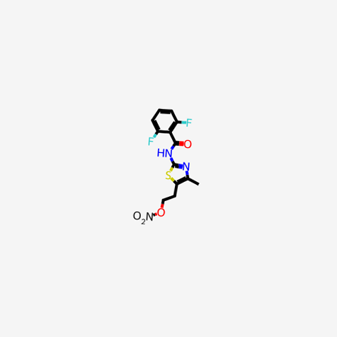 Cc1nc(NC(=O)c2c(F)cccc2F)sc1CCO[N+](=O)[O-]